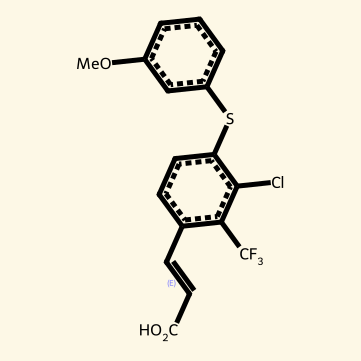 COc1cccc(Sc2ccc(/C=C/C(=O)O)c(C(F)(F)F)c2Cl)c1